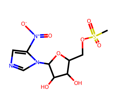 CS(=O)(=O)OCC1OC(n2cncc2[N+](=O)[O-])C(O)C1O